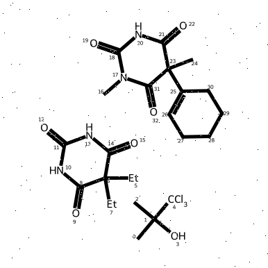 CC(C)(O)C(Cl)(Cl)Cl.CCC1(CC)C(=O)NC(=O)NC1=O.CN1C(=O)NC(=O)C(C)(C2=CCCCC2)C1=O